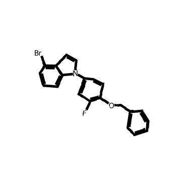 Fc1cc(-n2ccc3c(Br)cccc32)ccc1OCc1ccccc1